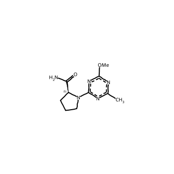 COc1nc(C)nc(N2CCC[C@H]2C(N)=O)n1